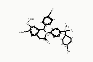 CC[C@@H](C)Oc1cc2c(cc1OC)CC(=O)N(c1ccc([C@@](C)(O)C3CCN(C(C)=O)CC3)cc1)C2c1ccc(Cl)cc1